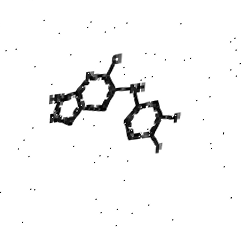 Fc1ccc(Nc2cc3cn[nH]c3nc2Cl)cc1F